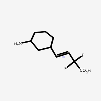 NC1CCCC(/C=C/C(F)(F)C(=O)O)C1